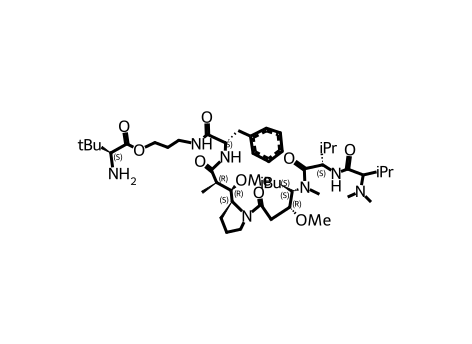 CC[C@H](C)[C@@H]([C@@H](CC(=O)N1CCC[C@H]1[C@H](OC)[C@@H](C)C(=O)N[C@@H](Cc1ccccc1)C(=O)NCCCOC(=O)[C@@H](N)C(C)(C)C)OC)N(C)C(=O)[C@@H](NC(=O)C(C(C)C)N(C)C)C(C)C